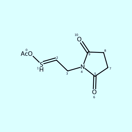 CC(=O)O[SH]=CCN1C(=O)CCC1=O